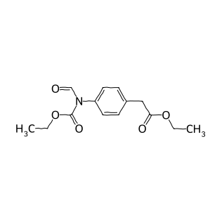 CCOC(=O)Cc1ccc(N(C=O)C(=O)OCC)cc1